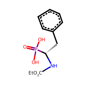 CCOC(=O)N[C@@H](Cc1ccccc1)P(=O)(O)O